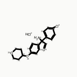 Cl.NC(C=O)(c1ccc(Cl)cc1)c1ccc(OC2CCOCC2)cc1